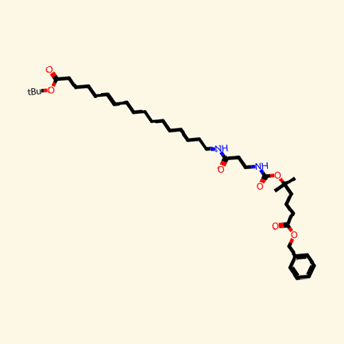 CC(C)(C)OC(=O)CCCCCCCCCCCCCCCCNC(=O)CCNC(=O)OC(C)(C)CCCC(=O)OCc1ccccc1